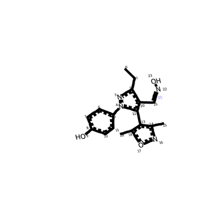 CCc1nn(-c2ccc(O)cc2)c(-c2c(C)noc2C)c1/C=N\O